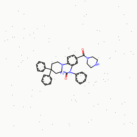 NC(=O)N(c1ccccc1)c1cc(C(=O)N2CCNCC2)ccc1N1CCC(c2ccccc2)(c2ccccc2)CC1